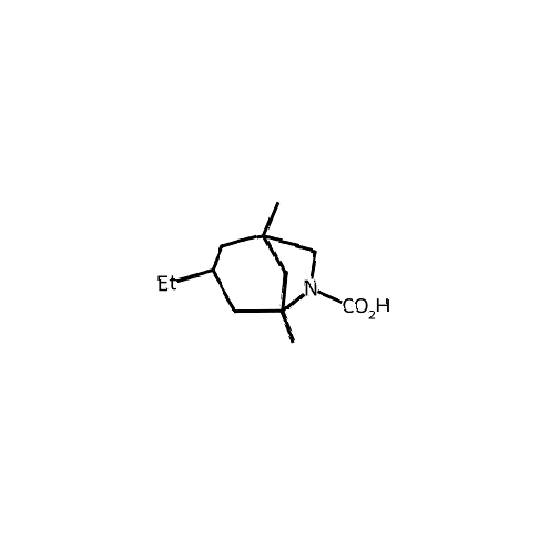 CCC1CC2(C)CN(C(=O)O)C(C)(C1)C2